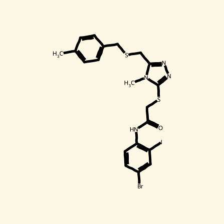 Cc1ccc(CSCc2nnc(SCC(=O)Nc3ccc(Br)cc3I)n2C)cc1